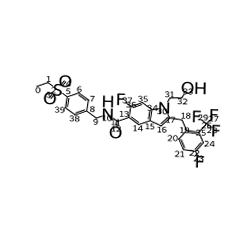 CCS(=O)(=O)c1ccc(CNC(=O)c2cc3cc(Cc4ccc(F)cc4C(F)(F)F)n(CCO)c3cc2F)cc1